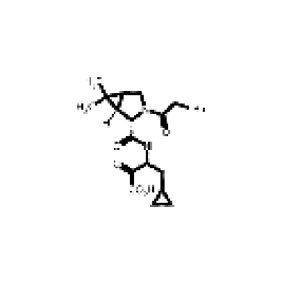 CC(C)(C)CC(=O)N1CC2[C@@H]([C@H]1C(=O)NC(CC1CC1)C(=O)C(=O)O)C2(C)C